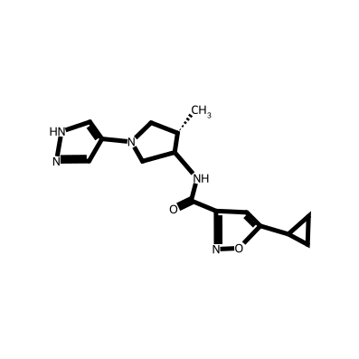 C[C@H]1CN(c2cn[nH]c2)CC1NC(=O)c1cc(C2CC2)on1